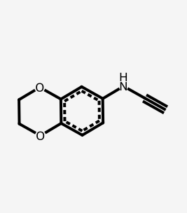 C#CNc1ccc2c(c1)OCCO2